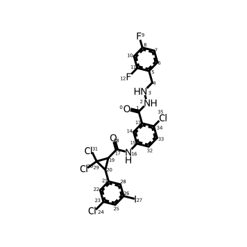 O=C(NNCc1ccc(F)cc1F)c1cc(NC(=O)C2C(c3cc(Cl)cc(I)c3)C2(Cl)Cl)ccc1Cl